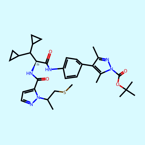 CSCC(C)n1nccc1C(=O)N[C@H](C(=O)Nc1ccc(-c2c(C)nn(C(=O)OC(C)(C)C)c2C)cc1)C(C1CC1)C1CC1